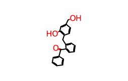 O=C(c1ccccc1)c1ccccc1Cc1ccc(CO)cc1O